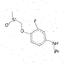 CC(C)Nc1ccc(OC[S+](C)[O-])c(F)c1